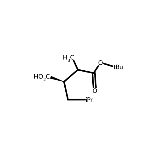 CC(C)C[C@@H](C(=O)O)C(C)C(=O)OC(C)(C)C